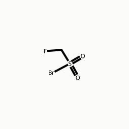 O=S(=O)(Br)CF